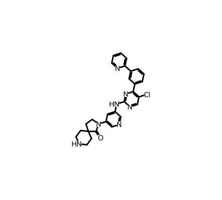 O=C1N(c2cncc(Nc3ncc(Cl)c(-c4cccc(-c5ccccn5)c4)n3)c2)CCC12CCNCC2